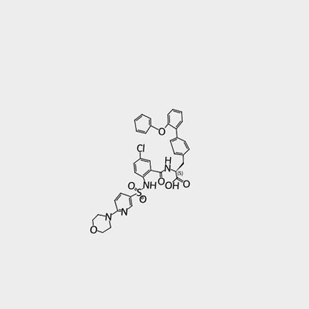 O=C(N[C@@H](Cc1ccc(-c2ccccc2Oc2ccccc2)cc1)C(=O)O)c1cc(Cl)ccc1NS(=O)(=O)c1ccc(N2CCOCC2)nc1